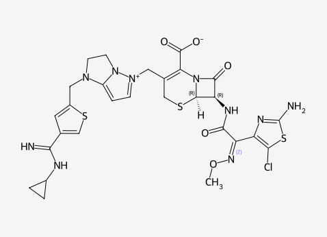 CO/N=C(\C(=O)N[C@@H]1C(=O)N2C(C(=O)[O-])=C(C[n+]3ccc4n3CCN4Cc3cc(C(=N)NC4CC4)cs3)CS[C@H]12)c1nc(N)sc1Cl